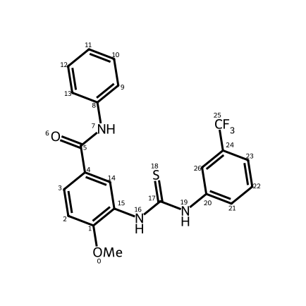 COc1ccc(C(=O)Nc2ccccc2)cc1NC(=S)Nc1cccc(C(F)(F)F)c1